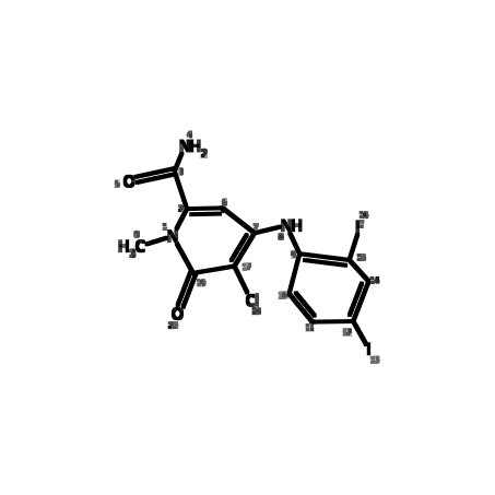 Cn1c(C(N)=O)[c]c(Nc2ccc(I)cc2F)c(Cl)c1=O